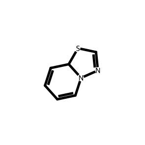 C1=CC2SC=NN2C=C1